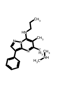 CCCNc1c(C)c(C)nc2c(-c3ccccc3)cnn12.CNC